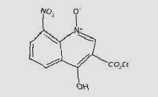 CCOC(=O)c1c[n+]([O-])c2c([N+](=O)[O-])cccc2c1O